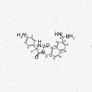 CC1(c2ccc(N)cc2)NC(=O)N(Cc2ccc3ccc(C(=N)N)cc3c2)C1=O